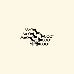 COCCOCC(=O)[O-].COCCOCC(=O)[O-].COCCOCC(=O)[O-].[Al+3]